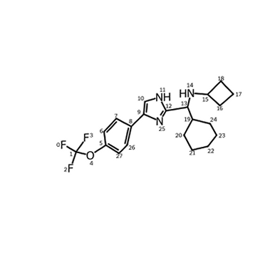 FC(F)(F)Oc1ccc(-c2c[nH]c(C(NC3CCC3)C3CCCCC3)n2)cc1